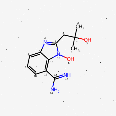 CC(C)(O)Cc1nc2cccc(C(=N)N)c2n1O